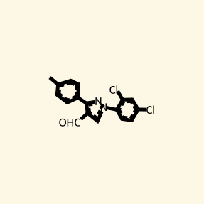 Cc1ccc(-c2nn(-c3ccc(Cl)cc3Cl)cc2C=O)cc1